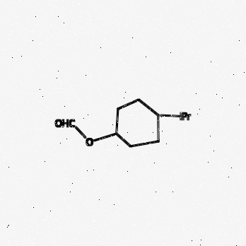 CC(C)C1CCC(OC=O)CC1